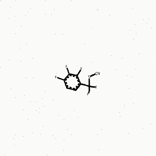 N#CSC(F)(F)c1ccc(F)c(F)c1F